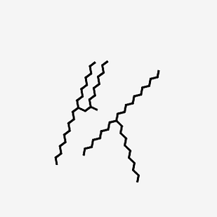 CCCCCCCCCCC(CCCCCCCC)CC(C)CCCCCCCC.CCCCCCCCCCCC(CCCCCCCC)CCCCCCCCCC